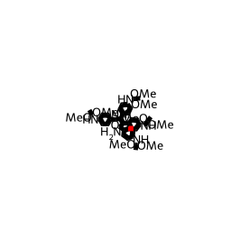 COC(C)(Nc1ccc(C2=C(c3ccc(NC(C)(OC)OC)cc3)C(N)(c3ccc(NC(C)(OC)OC)cc3)OC2(N)c2ccc(NC(C)(OC)OC)cc2)cc1)OC